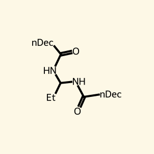 CCCCCCCCCCC(=O)NC(CC)NC(=O)CCCCCCCCCC